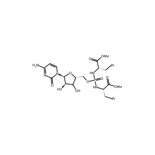 COC(=O)[C@H](CC(C)C)NP(=O)(N[C@@H](CC(C)C)C(=O)OC)OC[C@H]1O[C@H](n2ccc(N)nc2=O)[C@H](O)C1O